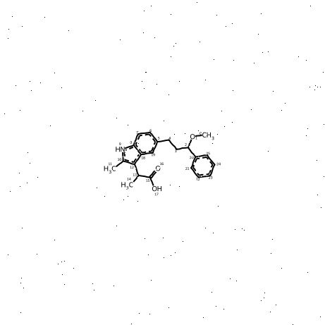 COC(CCc1ccc2[nH]c(C)c(C(C)C(=O)O)c2c1)c1ccccc1